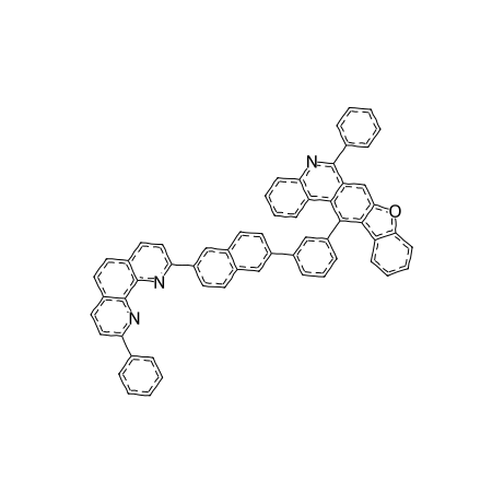 c1ccc(-c2ccc3ccc4ccc(-c5ccc6cc(-c7cccc(-c8c9c(cc%10c(-c%11ccccc%11)nc%11ccccc%11c8%10)oc8ccccc89)c7)ccc6c5)nc4c3n2)cc1